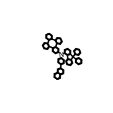 c1ccc(C2(c3ccccc3)c3ccccc3-c3c(N(c4ccc(-c5ccc6ccccc6c5)cc4)c4ccc5c(c4)-c4ccccc4-c4ccccc4-c4ccccc4-5)cccc32)cc1